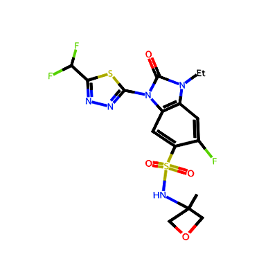 CCn1c(=O)n(-c2nnc(C(F)F)s2)c2cc(S(=O)(=O)NC3(C)COC3)c(F)cc21